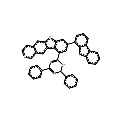 c1ccc(C2=NC(c3ccccc3)NC(c3cc(-c4cccc5c4sc4ccccc45)cc4oc5cc6ccncc6cc5c34)=N2)cc1